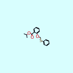 CC(C)OC(=O)c1ccccc1OCSc1ccccc1